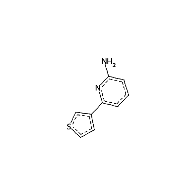 Nc1cccc(-c2ccsc2)n1